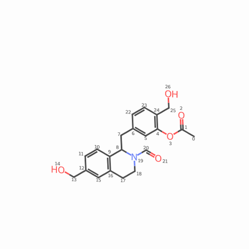 CC(=O)Oc1cc(CC2c3ccc(CO)cc3CCN2C=O)ccc1CO